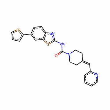 O=C(Nc1nc2ccc(-c3cccs3)cc2s1)N1CCC(=Cc2ccccn2)CC1